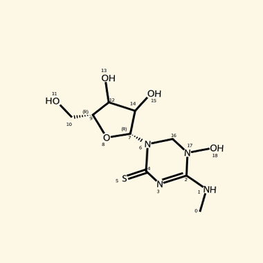 CNC1=NC(=S)N([C@@H]2O[C@H](CO)C(O)C2O)CN1O